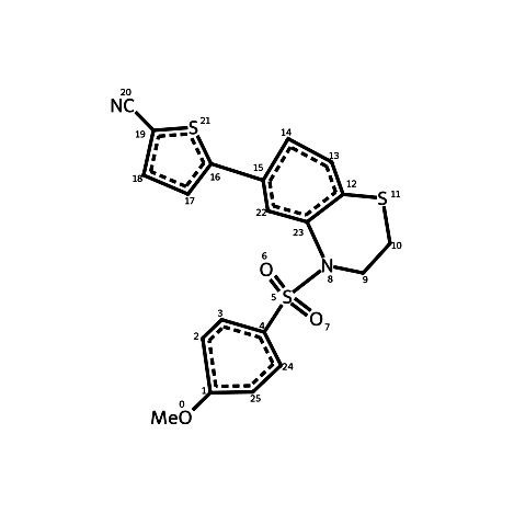 COc1ccc(S(=O)(=O)N2CCSc3ccc(-c4ccc(C#N)s4)cc32)cc1